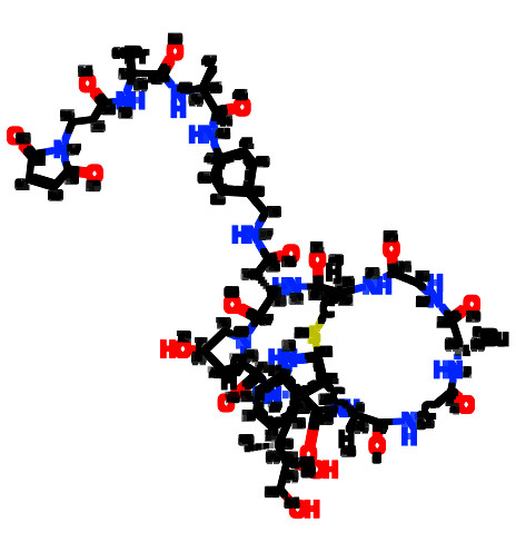 CC[C@H](C)[C@@H]1NC(=O)CNC(=O)[C@H]2Cc3c([nH]c4ccccc34)SC[C@H](NC(=O)CNC1=O)C(=O)N[C@@H](CC(=O)NCc1ccc(NC(=O)[C@H](C)NC(=O)[C@@H](NC(=O)CCN3C(=O)C=CC3=O)C(C)C)cc1)C(=O)N1C[C@H](O)C[C@H]1C(=O)N[C@@H]([C@@H](C)[C@@H](O)CO)C(=O)N2